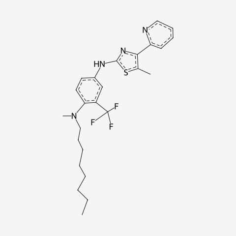 CCCCCCCCN(C)c1ccc(Nc2nc(-c3ccccn3)c(C)s2)cc1C(F)(F)F